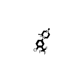 C[C@H]1CN(C)CCN1c1ccc(Cl)c(C(F)(F)F)c1